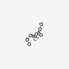 C=Cc1c(/C=C\C)n(-c2cccc(-c3cccc(-c4ccccc4)c3)c2)c2ccc3c(c4ccccc4n3-c3ccc(-c4ccccc4)cc3)c12